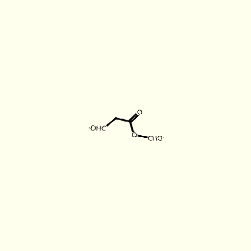 O=[C]CC(=O)O[C]=O